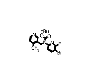 CC(C)(C)OC(=O)N(Cc1cnccc1C(F)(F)F)c1ccc(Br)c(F)n1